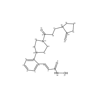 O=C(C=Cc1ccccc1N1CCN(C(=O)CCN2CCCC2=O)CC1)NO